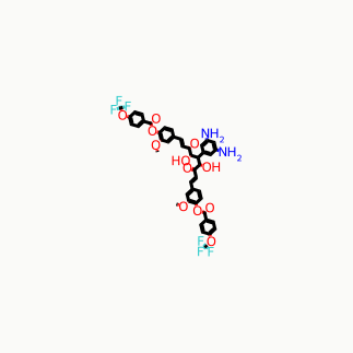 COc1cc(/C=C/C(=O)C(O)C(c2cc(N)cc(N)c2)C(O)C(=O)/C=C/c2ccc(OC(=O)c3ccc(OC(F)(F)F)cc3)c(OC)c2)ccc1OC(=O)c1ccc(OC(F)(F)F)cc1